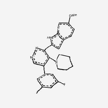 COc1ccc2cc(-c3nncc(-c4cc(C)cc(F)c4)c3N3CCCCC3)[nH]c2c1